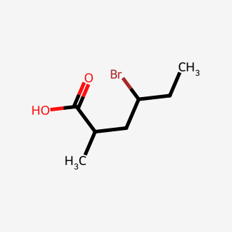 CCC(Br)CC(C)C(=O)O